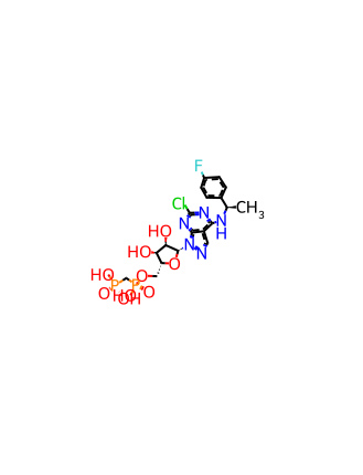 C[C@@H](Nc1nc(Cl)nc2c1cnn2[C@@H]1O[C@H](COP(=O)(O)CP(=O)(O)O)[C@@H](O)[C@H]1O)c1ccc(F)cc1